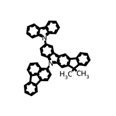 CC1(C)c2ccccc2-c2cc3c4cc(-n5c6ccccc6c6ccccc65)ccc4n(-c4ccc5c6c(cccc46)-c4ccccc4-5)c3cc21